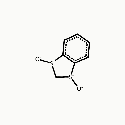 [O-][S+]1C[S+]([O-])c2ccccc21